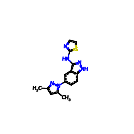 Cc1cc(C)n(-c2ccc3[nH]nc(Nc4nccs4)c3c2)n1